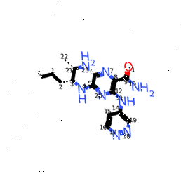 CCC[C@@H](Nc1cnc(C(N)=O)c(Nc2ccnnc2)n1)[C@H](C)N